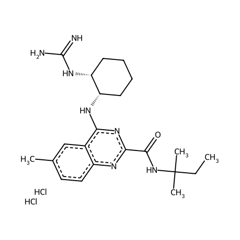 CCC(C)(C)NC(=O)c1nc(N[C@H]2CCCC[C@H]2NC(=N)N)c2cc(C)ccc2n1.Cl.Cl